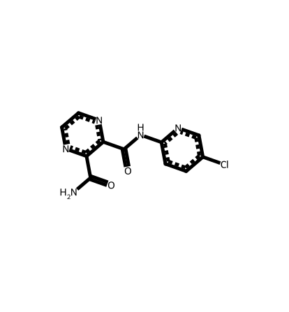 NC(=O)c1nccnc1C(=O)Nc1ccc(Cl)cn1